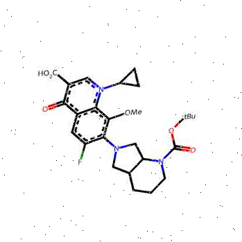 COc1c(N2CC3CCCN(C(=O)OC(C)(C)C)C3C2)c(F)cc2c(=O)c(C(=O)O)cn(C3CC3)c12